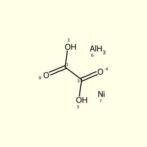 O=C(O)C(=O)O.[AlH3].[Ni]